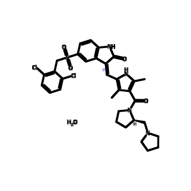 Cc1[nH]c(/C=C2\C(=O)Nc3ccc(S(=O)(=O)Cc4c(Cl)cccc4Cl)cc32)c(C)c1C(=O)N1CCC[C@@H]1CN1CCCC1.O